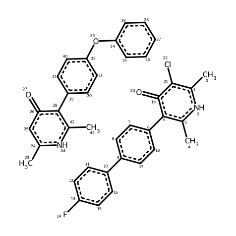 Cc1[nH]c(C)c(-c2ccc(-c3ccc(F)cc3)cc2)c(=O)c1Cl.Cc1cc(=O)c(-c2ccc(Oc3ccccc3)cc2)c(C)[nH]1